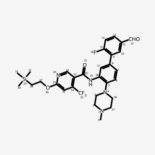 CN1CCN(c2ccc(-c3cc(C=O)ccc3F)cc2NC(=O)c2cnc(OCC[Si](C)(C)C)cc2C(F)(F)F)CC1